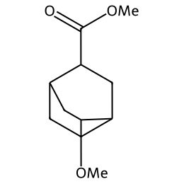 COC(=O)C1CC2CCC1CC2OC